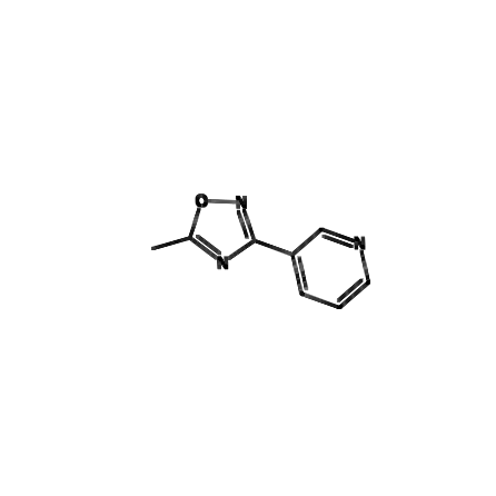 Cc1nc(-c2cccnc2)no1